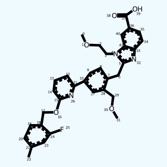 COCCn1c(Cc2ccc(-c3cccc(OCc4ccc(C)cc4F)n3)cc2COC)nc2ccc(C(=O)O)cc21